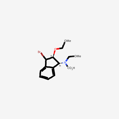 COCO[C@@H]1C(Br)c2ccccc2[C@H]1N(COC)C(=O)O